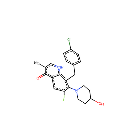 N#Cc1c[nH]c2c(Cc3ccc(Cl)cc3)c(N3CCC(O)CC3)c(F)cc2c1=O